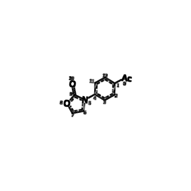 CC(=O)c1ccc(-n2ccoc2=O)cc1